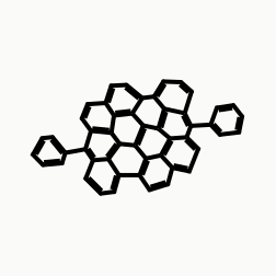 c1ccc(-c2c3cccc4c5ccc6ccc7c(-c8ccccc8)c8cccc9c%10ccc%11ccc2c2c%11c%10c%10c(c89)c7c6c5c%10c2c34)cc1